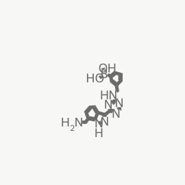 NCc1cccc2c(-c3ncnc(NCc4cccc(B(O)O)c4)n3)n[nH]c12